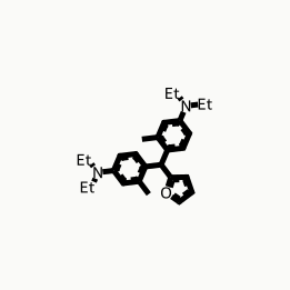 CCN(CC)c1ccc(C(c2ccco2)c2ccc(N(CC)CC)cc2C)c(C)c1